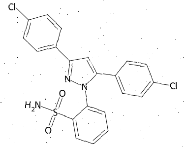 NS(=O)(=O)c1ccccc1-n1nc(-c2ccc(Cl)cc2)cc1-c1ccc(Cl)cc1